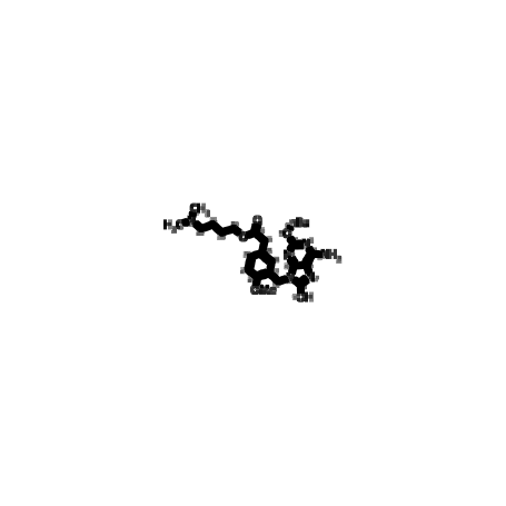 CCCCOc1nc(N)c2nc(O)n(Cc3cc(CC(=O)OCCCCN(C)C)ccc3OC)c2n1